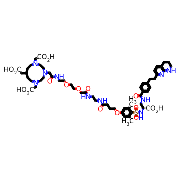 Cc1cc(OCCCC(=O)NCCNC(=O)COCCOCCNC(=O)CN2CCN(CC(=O)O)CCC(CC(=O)O)CCN(CC(=O)O)CC2)cc(C)c1S(=O)(=O)N[C@H](CNC(=O)c1ccc(CCc2ccc3c(n2)NCCC3)cc1)C(=O)O